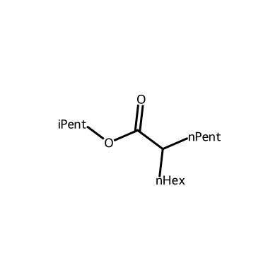 CCCCCCC(CCCCC)C(=O)OC(C)CCC